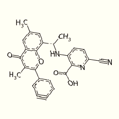 Cc1cc(C(C)Nc2ccc(C#N)nc2C(=O)O)c2oc(-c3cc#ccc3)c(C)c(=O)c2c1